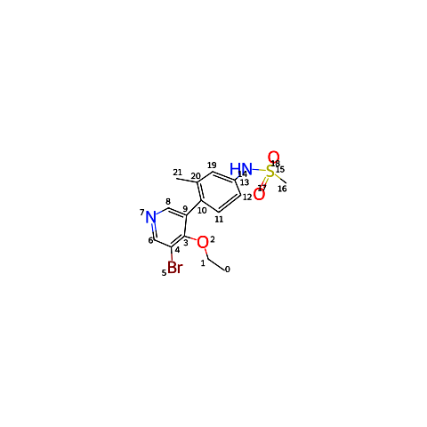 CCOc1c(Br)cncc1-c1ccc(NS(C)(=O)=O)cc1C